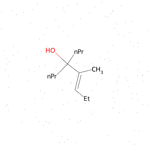 CC/C=C(\C)C(O)(CCC)CCC